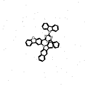 c1ccc(-c2nc(-c3cc4oc5ccccc5c4cc3-n3c4ccccc4c4cc5ccccc5cc43)nc(-n3c4ccccc4c4ccccc43)n2)cc1